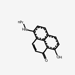 CCCNc1ccc2ccc(O)c3c2c1C=CC3=O